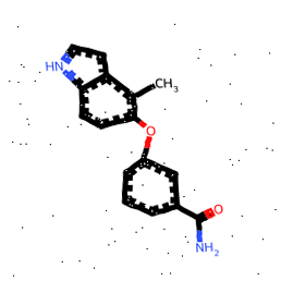 Cc1c(Oc2cccc(C(N)=O)c2)ccc2[nH]ccc12